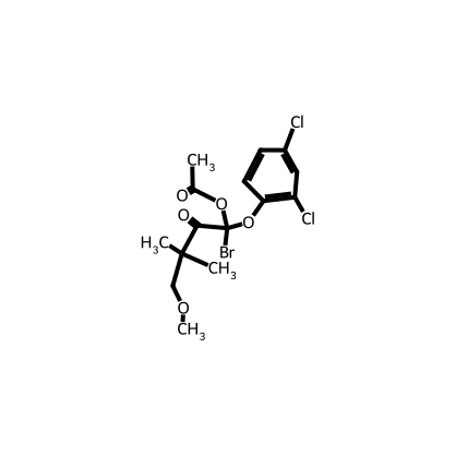 COCC(C)(C)C(=O)C(Br)(OC(C)=O)Oc1ccc(Cl)cc1Cl